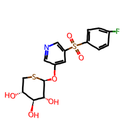 O=S(=O)(c1ccc(F)cc1)c1cncc(O[C@@H]2SC[C@@H](O)[C@H](O)[C@H]2O)c1